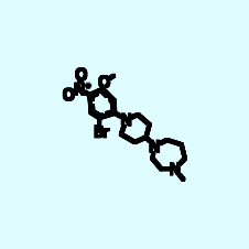 COc1cc(N2CCC(N3CCCN(C)CC3)CC2)c(Br)cc1[N+](=O)[O-]